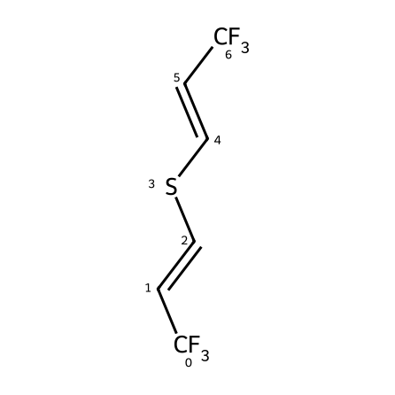 FC(F)(F)C=CSC=CC(F)(F)F